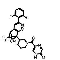 CC1(C)C2CCC1(C1CCCN(C(=O)c3c[nH]c(=O)cn3)C1)c1nnc(-c3c(F)cccc3F)cc12